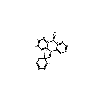 CC1(C=C2c3ccccc3C(=O)c3ccccc32)C=CC=CC1